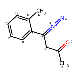 CC(=O)CC(=[N+]=[N-])c1ccccc1C